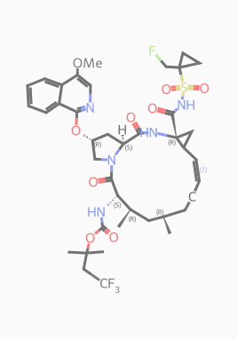 COc1cnc(O[C@@H]2C[C@H]3C(=O)N[C@]4(C(=O)NS(=O)(=O)C5(CF)CC5)CC4/C=C\CC[C@@H](C)C[C@@H](C)[C@H](NC(=O)OC(C)(C)CC(F)(F)F)C(=O)N3C2)c2ccccc12